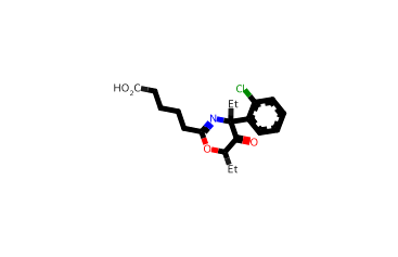 CCC1OC(CCCCC(=O)O)=NC(CC)(c2ccccc2Cl)C1=O